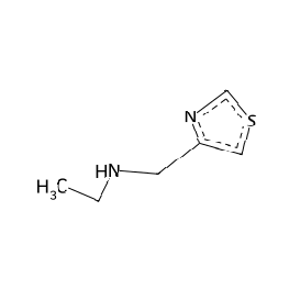 CCNCc1cscn1